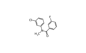 CN(C(=O)c1cccc(F)c1)c1cccc(Cl)c1